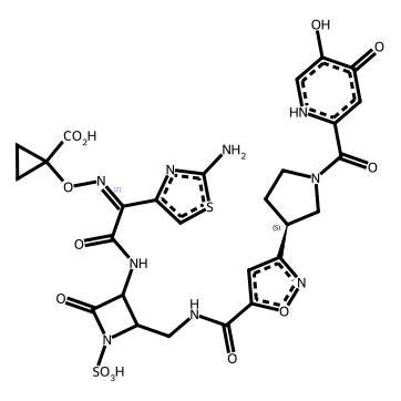 Nc1nc(/C(=N/OC2(C(=O)O)CC2)C(=O)NC2C(=O)N(S(=O)(=O)O)C2CNC(=O)c2cc([C@H]3CCN(C(=O)c4cc(=O)c(O)c[nH]4)C3)no2)cs1